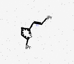 CC(C)/C=C/c1ccc(C(C)C)s1